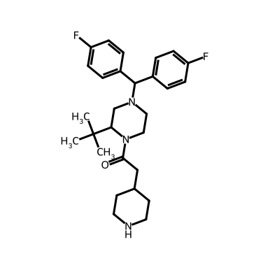 CC(C)(C)C1CN(C(c2ccc(F)cc2)c2ccc(F)cc2)CCN1C(=O)CC1CCNCC1